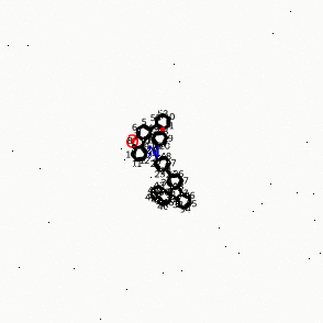 c1ccc(-c2ccc3oc4cccc(N(c5ccccc5)c5ccc(-c6ccc7c(c6)C6(c8ccccc8-7)C7CC8CC(C7)CC6C8)cc5)c4c3c2)cc1